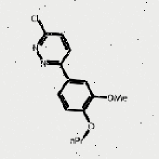 CCCOc1ccc(-c2ccc(Cl)nn2)cc1OC